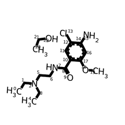 CCN(CC)CCNC(=O)c1cc(Cl)c(N)cc1OC.CCO